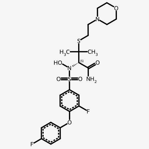 CC(C)(SCCN1CCOCC1)[C@H](C(N)=O)N(O)S(=O)(=O)c1ccc(Oc2ccc(F)cc2)c(F)c1